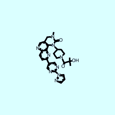 CN1Cc2cnc3ccc(-c4cnc(-n5cccn5)nc4)nc3c2N(C2CCN(C(=O)C(C)(C)O)CC2)C1=O